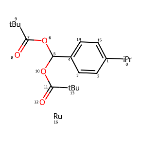 CC(C)c1ccc(C(OC(=O)C(C)(C)C)OC(=O)C(C)(C)C)cc1.[Ru]